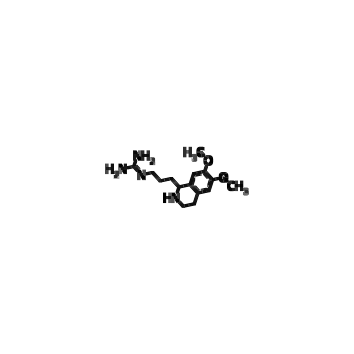 COc1cc2c(cc1OC)C(CCCN=C(N)N)NCC2